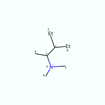 CCC(CC)C(C)N(C)C